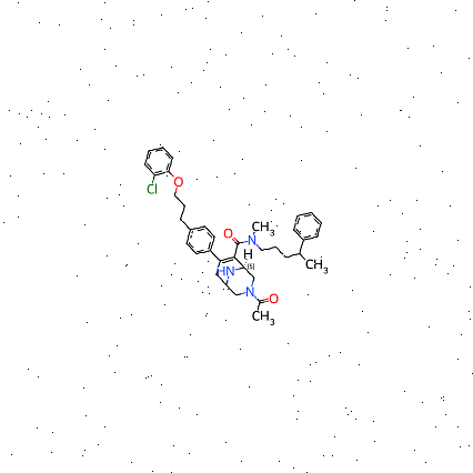 CC(=O)N1CC2CC(c3ccc(CCCOc4ccccc4Cl)cc3)=C(C(=O)N(C)CCCC(C)c3ccccc3)[C@@H](C1)N2